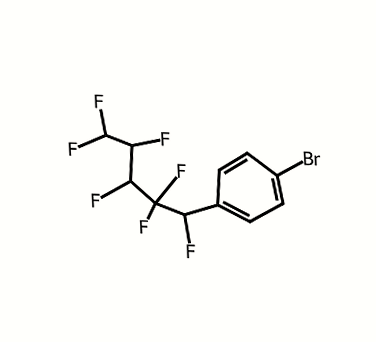 FC(F)C(F)C(F)C(F)(F)C(F)c1ccc(Br)cc1